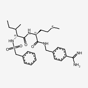 CCC(C)[C@@H](NS(=O)(=O)Cc1ccccc1)C(=O)N[C@@H](CCSC)C(=O)NCc1ccc(C(=N)N)cc1